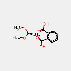 C=C(OC)OC.O=C(O)c1ccccc1C(=O)O